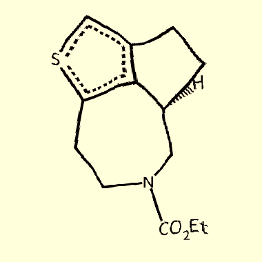 CCOC(=O)N1CCc2scc3c2[C@@H](CC3)C1